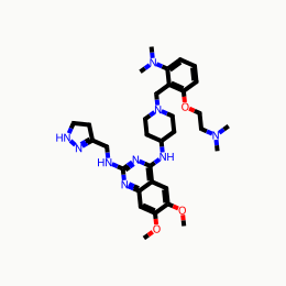 COc1cc2nc(NCC3=NNCC3)nc(NC3CCN(Cc4c(OCCN(C)C)cccc4N(C)C)CC3)c2cc1OC